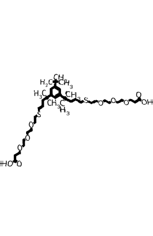 CC(C)(C)c1cc(C(C)(C)CCCSCCOCCOCCOCCC(=O)O)cc(C(C)(C)CCCSCCOCCOCCOCCC(=O)O)c1